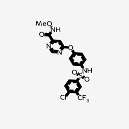 CONC(=O)c1cc(Oc2ccc(NS(=O)(=O)c3ccc(Cl)c(C(F)(F)F)c3)cc2)ncn1